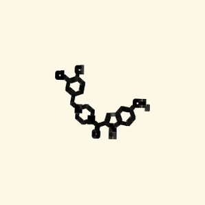 Cc1ccc2[nH]c(C(=O)N3CCN(Cc4ccc(Cl)c(Cl)c4)CC3)cc2c1